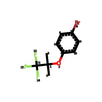 CC(C)(Oc1ccc(Br)cc1)C(F)(F)F